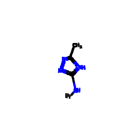 Cc1nnc(NC(C)C)[nH]1